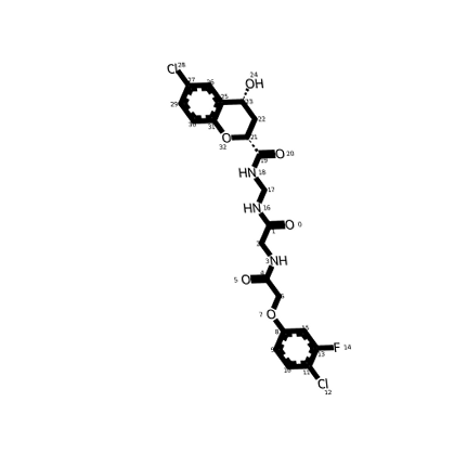 O=C(CNC(=O)COc1ccc(Cl)c(F)c1)NCNC(=O)[C@H]1C[C@@H](O)c2cc(Cl)ccc2O1